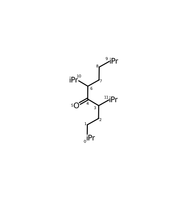 CC(C)CCC(C(=O)C(CCC(C)C)C(C)C)C(C)C